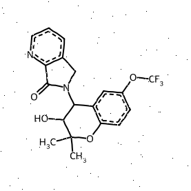 CC1(C)Oc2ccc(OC(F)(F)F)cc2C(N2Cc3cccnc3C2=O)C1O